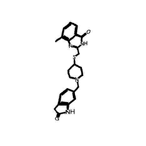 Cc1cccc2c(=O)[nH]c(CSC3CCN(Cc4ccc5c(c4)NC(=O)C5)CC3)nc12